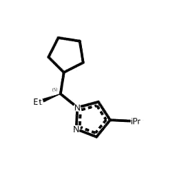 CC[C@@H](C1CCCC1)n1cc(C(C)C)cn1